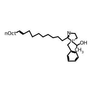 CCCCCCCCC=CCCCCCCCCC1=NCC[N+]1(Cc1ccccc1)C(C)O